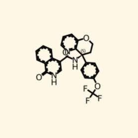 O=C(N[C@]1(c2ccc(OC(F)(F)F)cc2)CCOc2cccnc21)c1c[nH]c(=O)c2ccccc12